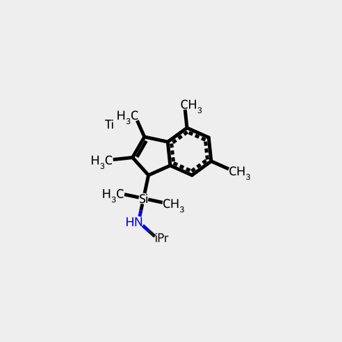 CC1=C(C)C([Si](C)(C)NC(C)C)c2cc(C)cc(C)c21.[Ti]